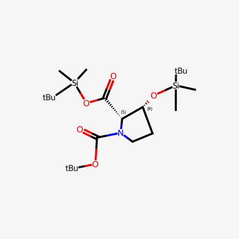 CC(C)(C)OC(=O)N1CC[C@@H](O[Si](C)(C)C(C)(C)C)[C@H]1C(=O)O[Si](C)(C)C(C)(C)C